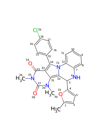 Cc1ccc(C2Nc3ccccc3-n3c(-c4ccc(Cl)cc4)c4c(=O)n(C)c(=O)n(C)c4c32)o1